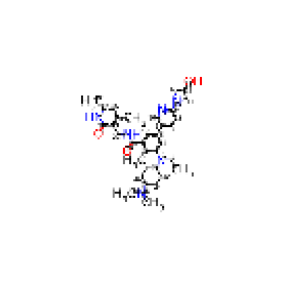 CCN(c1cc(-c2ccc(N3CC(O)C3)nc2)cc(C(=O)NCc2c(C)cc(C)[nH]c2=O)c1C)C1CCC(N(C)C)CC1